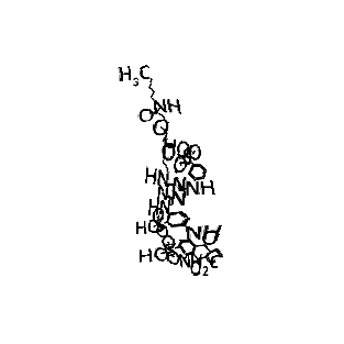 CCCCCNC(=O)COCCOCCNc1nc(Nc2cccc(S(=O)(=O)O)c2)nc(Nc2ccc(Nc3cc(S(=O)(=O)O)c(N)c4c3C(=O)c3ccccc3C4=O)cc2S(=O)(=O)O)n1